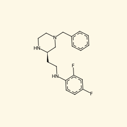 Fc1ccc(NCC[C@@H]2CN(Cc3ccccc3)CCN2)c(F)c1